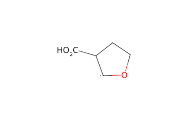 O=C(O)C1[CH]OCC1